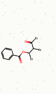 CCC(=O)C(CC)C(CC)OC(=O)c1ccccc1